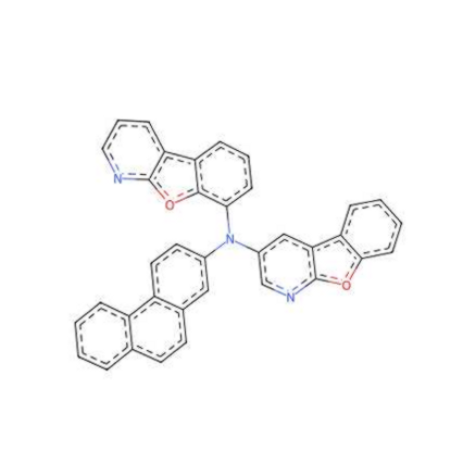 c1ccc2c(c1)ccc1cc(N(c3cnc4oc5ccccc5c4c3)c3cccc4c3oc3ncccc34)ccc12